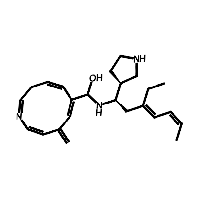 C=C1/C=C\N=C/C/C=C\C(C(O)N[C@H](C/C(=C/C=C\C)CC)[C@H]2CCNC2)=C/1